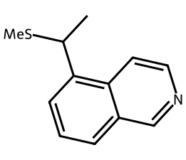 CSC(C)c1cccc2cnccc12